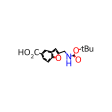 CC(C)(C)OC(=O)NCc1cc2cc(C(=O)O)ccc2o1